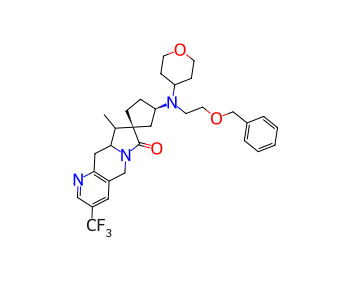 CC1C2Cc3ncc(C(F)(F)F)cc3CN2C(=O)[C@]12CC[C@@H](N(CCOCc1ccccc1)C1CCOCC1)C2